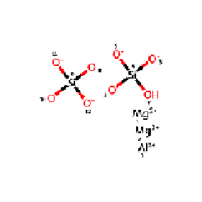 [Al+3].[Mg+2].[Mg+2].[O-][Si]([O-])([O-])O.[O-][Si]([O-])([O-])[O-]